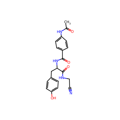 CC(=O)Nc1ccc(C(=O)NC(Cc2ccc(O)cc2)C(=O)NCC#N)cc1